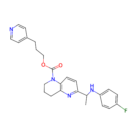 CC(Nc1ccc(F)cc1)c1ccc2c(n1)CCCN2C(=O)OCCCc1ccncc1